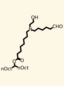 CCCCCCCCC(CCCCCCCC)OC(=O)CCCCCCCN(CCO)CCCCCC=O